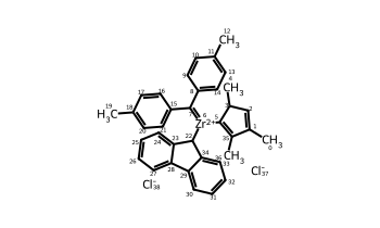 CC1=CC(C)[C]([Zr+2](=[C](c2ccc(C)cc2)c2ccc(C)cc2)[CH]2c3ccccc3-c3ccccc32)=C1C.[Cl-].[Cl-]